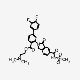 CN(C)CCOC(=O)c1ccc(-c2ccc(F)c(F)c2)cc1N1Cc2ccc(C(=O)NS(C)(=O)=O)cc2C1=O